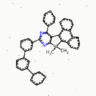 C[Si]1(C)c2nc(-c3cccc(-c4cccc(-c5ccccc5)c4)c3)nc(-c3ccccc3)c2-c2c1c1ccccc1c1ccccc21